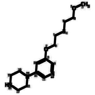 COCCSCCOc1cncc(N2CCNCC2)c1